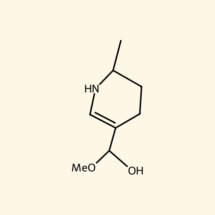 COC(O)C1=CNC(C)CC1